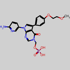 COCCOc1ccc(-c2cn(-c3ccc(N)nc3)c3ncn(COP(=O)(O)O)c(=O)c23)cc1